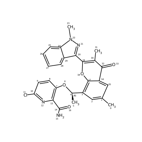 Cc1cc([C@@H](C)Oc2ccc(Cl)nc2C(N)=O)c2oc(-c3nn(C)c4ccccc34)c(C)c(=O)c2c1